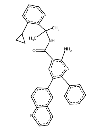 CC(C)(NC(=O)c1nc(-c2ccc3ncccc3c2)c(-c2ccccc2)nc1N)c1ncccc1C1CC1